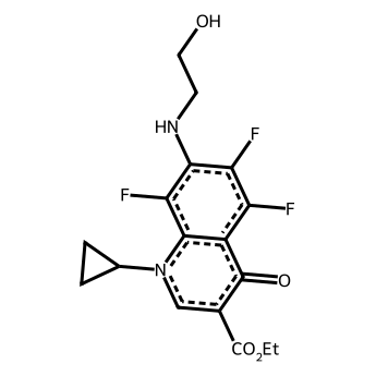 CCOC(=O)c1cn(C2CC2)c2c(F)c(NCCO)c(F)c(F)c2c1=O